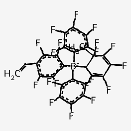 C=Cc1c(F)c(F)c([B-](c2c(F)c(F)c(F)c(F)c2F)(c2c(F)c(F)c(F)c(F)c2F)C2C(F)=C(F)C(F)=C(F)C2(C)F)c(F)c1F